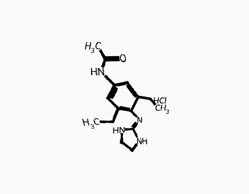 CCc1cc(NC(C)=O)cc(CC)c1N=C1NCCN1.Cl